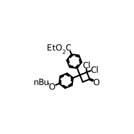 CCCCOc1ccc(C2(c3ccc(C(=O)OCC)cc3)CC(=O)C2(Cl)Cl)cc1